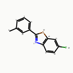 Cc1cccc(-c2nc3ccc(F)cc3s2)c1